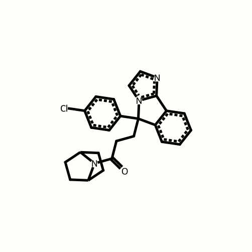 O=C(CCC1(c2ccc(Cl)cc2)c2ccccc2-c2nccn21)N1C2CCC1CC2